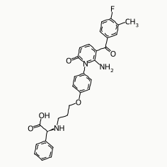 Cc1cc(C(=O)c2ccc(=O)n(-c3ccc(OCCCN[C@H](C(=O)O)c4ccccc4)cc3)c2N)ccc1F